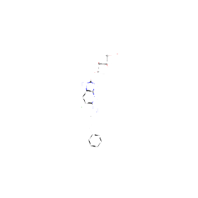 O[C@@H]1CO[C@H]2[C@@H]1OC[C@H]2Oc1nc2nc(NCCCc3ccccc3)c(Cl)cc2[nH]1